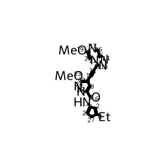 CCC1=CC(NC(=O)c2cc(C#Cc3nnc4cnc(OC)cn34)c(OC)nn2)=CC1